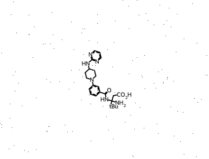 CC(C)(C)C(N)(CC(=O)O)NC(=O)c1cccc(N2CCC(Nc3ncccn3)CC2)c1